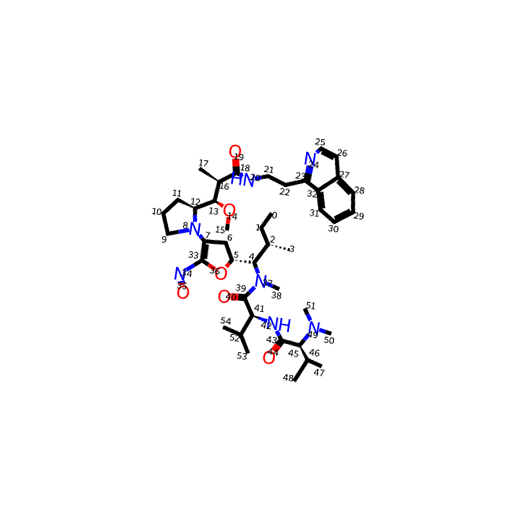 CC[C@H](C)C([C@H]1CC(N2CCC[C@H]2[C@H](OC)[C@@H](C)C(=O)NCCc2nccc3ccccc23)=C(N=O)O1)N(C)C(=O)[C@@H](NC(=O)[C@H](C(C)C)N(C)C)C(C)C